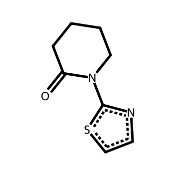 O=C1CCCCN1c1nccs1